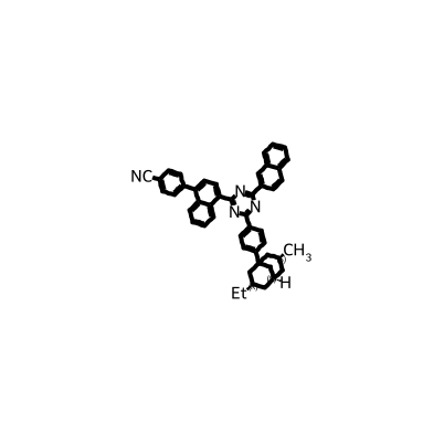 CC[C@@H]1C[C@@H]2C[C@H](C)CC(c3ccc(-c4nc(-c5ccc6ccccc6c5)nc(-c5ccc(-c6ccc(C#N)cc6)c6ccccc56)n4)cc3)(C1)C2